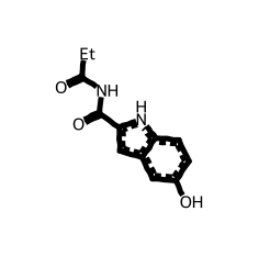 CCC(=O)NC(=O)c1cc2cc(O)ccc2[nH]1